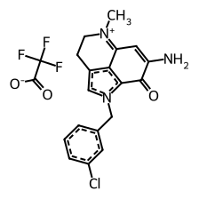 C[N+]1=C2C=C(N)C(=O)c3c2c(cn3Cc2cccc(Cl)c2)CC1.O=C([O-])C(F)(F)F